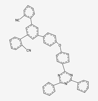 N#Cc1ccccc1-c1cc(-c2ccc(Oc3ccc(-c4nc(-c5ccccc5)nc(-c5ccccc5)n4)cc3)cc2)cc(-c2ccccc2C#N)c1